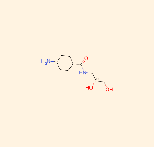 N[C@H]1CC[C@H](C(=O)NC[C@@H](O)CO)CC1